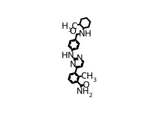 Cc1c(C(N)=O)cccc1-c1ccnc(Nc2ccc(C(=O)NC3CCCCC3C)cc2)n1